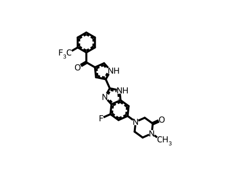 CN1CCN(c2cc(F)c3nc(-c4cc(C(=O)c5ccccc5C(F)(F)F)c[nH]4)[nH]c3c2)CC1=O